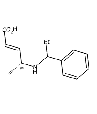 CCC(N[C@H](C)C=CC(=O)O)c1ccccc1